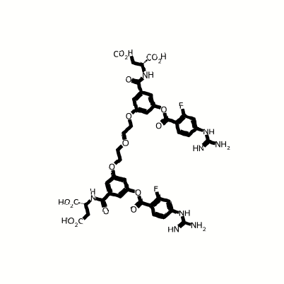 N=C(N)Nc1ccc(C(=O)Oc2cc(OCCOCCOc3cc(OC(=O)c4ccc(NC(=N)N)cc4F)cc(C(=O)N[C@H](CC(=O)O)C(=O)O)c3)cc(C(=O)N[C@H](CC(=O)O)C(=O)O)c2)c(F)c1